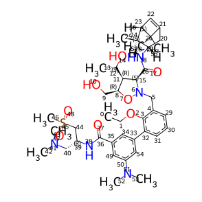 CCOc1c(CN2O[C@@H](CO)[C@@H]([C@H](C)O)[C@H]2C(=O)N[C@H]2CC3=C[C@@H]([C@@H]2C)C3(C)C)cccc1-c1cc(C(=O)N[C@H](CN(C)C)CS(C)(=O)=O)cc(N(C)C)c1